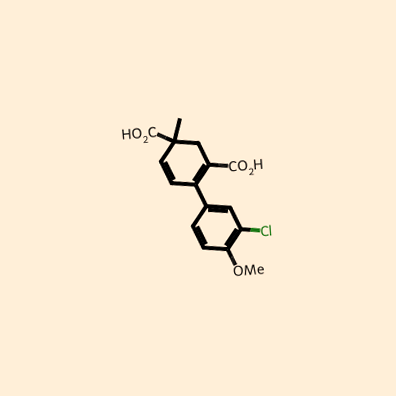 COc1ccc(C2=C(C(=O)O)CC(C)(C(=O)O)C=C2)cc1Cl